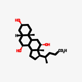 C[C@H](CCC(=O)O)[C@H]1CCC2C3C(C[C@H](O)[C@@]21C)[C@@]1(C)CC[C@@H](O)C[C@H]1C[C@H]3O